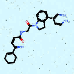 N=C(/C=C\C(=O)NCC(=O)N1CCc2c(C(/C=C\N)=C/N)cccc21)C1=CCCCC1